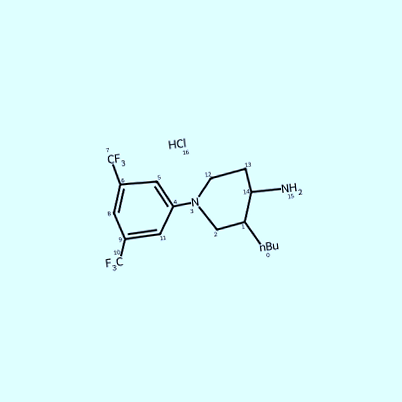 CCCCC1CN(c2cc(C(F)(F)F)cc(C(F)(F)F)c2)CCC1N.Cl